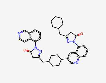 O=C1CC(CC2CCC(c3cnc4cccc(N5N=C(CC6CCCCC6)CC5=O)c4c3)CC2)=NN1c1cccc2cnccc12